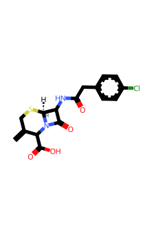 C=C1CS[C@H]2C(NC(=O)Cc3ccc(Cl)cc3)C(=O)N2C1C(=O)O